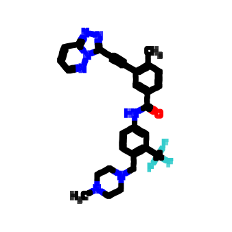 Cc1ccc(C(=O)Nc2ccc(CN3CCN(C)CC3)c(C(F)(F)F)c2)cc1C#Cc1nnc2cccnn12